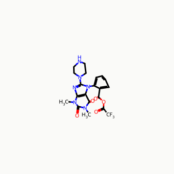 Cn1c(=O)c2c(nc(N3CCNCC3)n2-c2ccccc2C(=O)OC(=O)C(F)(F)F)n(C)c1=O